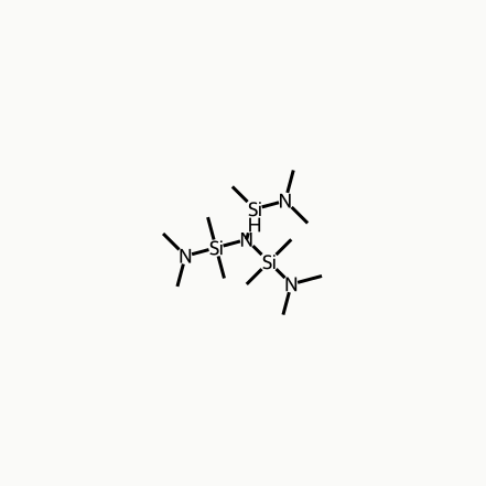 CN(C)[SiH](C)N([Si](C)(C)N(C)C)[Si](C)(C)N(C)C